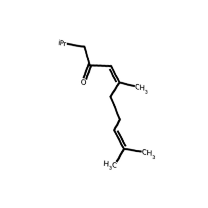 CC(C)=CCCC(C)=CC(=O)CC(C)C